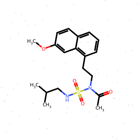 COc1ccc2cccc(CCN(C(C)=O)S(=O)(=O)NCC(C)C)c2c1